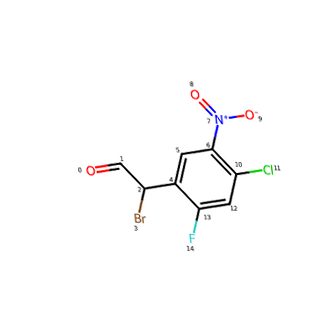 O=CC(Br)c1cc([N+](=O)[O-])c(Cl)cc1F